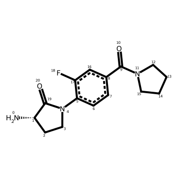 N[C@H]1CCN(c2ccc(C(=O)N3CCCC3)cc2F)C1=O